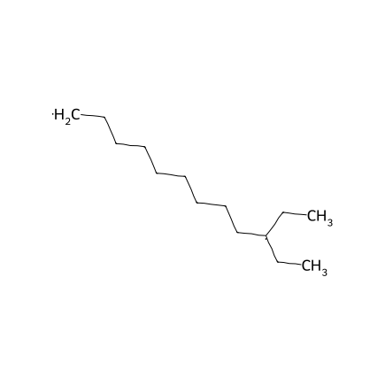 [CH2]CCCCCCCC[C](CC)CC